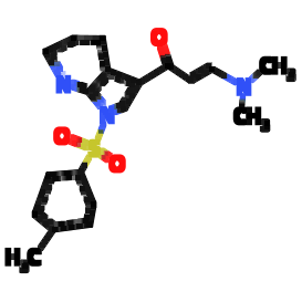 Cc1ccc(S(=O)(=O)n2cc(C(=O)C=CN(C)C)c3cccnc32)cc1